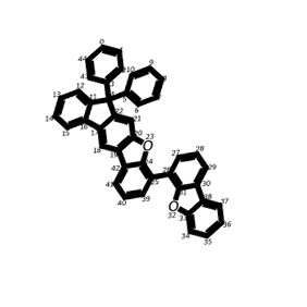 c1ccc(C2(c3ccccc3)c3ccccc3-c3cc4c(cc32)oc2c(-c3cccc5c3oc3ccccc35)cccc24)cc1